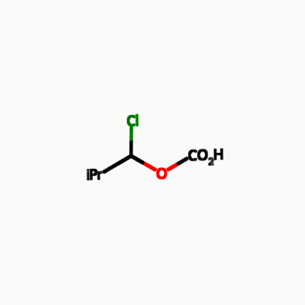 CC(C)C(Cl)OC(=O)O